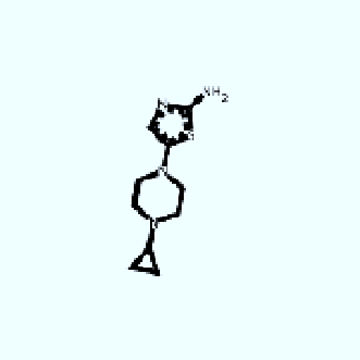 Nc1ncc(N2CCN(C3CC3)CC2)s1